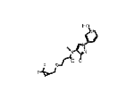 CN(C(=O)CCSCC1CC1(F)F)c1cn(-c2ccc[n+](O)c2)nc1Cl